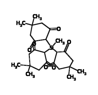 CC1(C)CC(=O)C([Si](C)(C2C(=O)CC(C)(C)CC2=O)C2C(=O)CC(C)(C)CC2=O)C(=O)C1